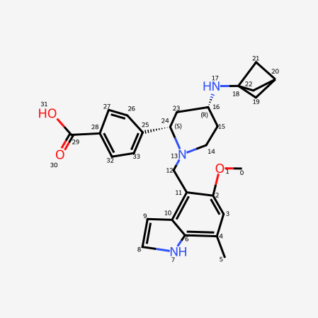 COc1cc(C)c2[nH]ccc2c1CN1CC[C@@H](NC23CC(C2)C3)C[C@H]1c1ccc(C(=O)O)cc1